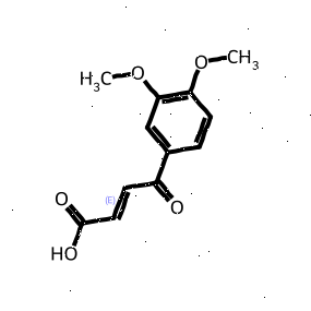 COc1ccc(C(=O)/C=C/C(=O)O)cc1OC